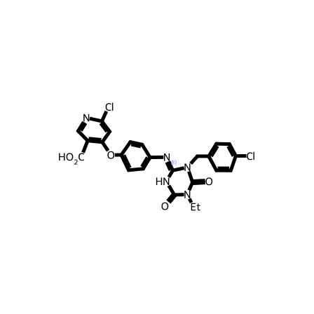 CCn1c(=O)[nH]/c(=N\c2ccc(Oc3cc(Cl)ncc3C(=O)O)cc2)n(Cc2ccc(Cl)cc2)c1=O